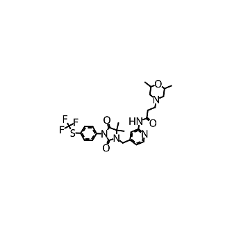 CC1CN(CCC(=O)Nc2cc(CN3C(=O)N(c4ccc(SC(F)(F)F)cc4)C(=O)C3(C)C)ccn2)CC(C)O1